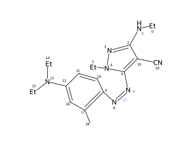 CCNc1nn(CC)c(/N=N\c2ccc(N(CC)CC)cc2C)c1C#N